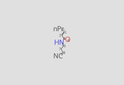 CCCC=CC(=O)NCCCC#N